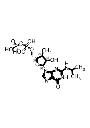 CC(C)Nc1nc2c(ncn2[C@@H]2O[C@H](COP(=O)(O)OP(=O)(O)O)[C@@H](C)[C@H]2O)c(=O)[nH]1